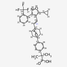 CC(C)(C(=O)O)c1ccc(C23CCC(/C=C/c4c(-c5ccccc5C(F)(F)F)noc4C4CC4)(CC2)CO3)cc1